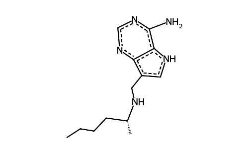 CCCC[C@@H](C)NCc1c[nH]c2c(N)ncnc12